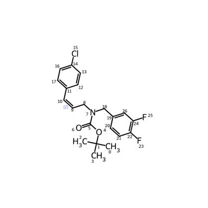 CC(C)(C)OC(=O)N(C/C=C\c1ccc(Cl)cc1)Cc1ccc(F)c(F)c1